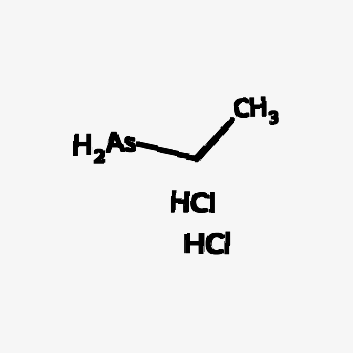 CC[AsH2].Cl.Cl